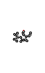 c1cc(-c2nc(-n3c4ccccc4c4ccccc43)nc(-n3c4ccccc4c4ccccc43)n2)cc(-n2c3ccccc3c3cc4c5ccccc5n(-c5cc(-c6ccc7sc8ccccc8c7c6)nc(-c6ccc7sc8ccccc8c7c6)c5)c4cc32)c1